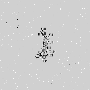 CC(C)(C)c1cc(Br)cc(-[n+]2c(C(O)NC(CNC(=O)CNC(O)c3cc(O)cc(NC4=NCC(O)CN4)c3)C(=O)O)sc3ccccc32)c1